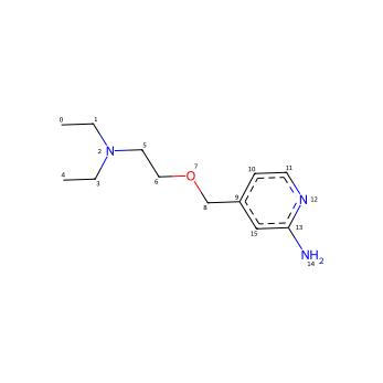 CCN(CC)CCOCc1ccnc(N)c1